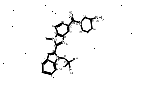 Cn1c(-c2cc3ccccc3n2CC(F)(F)F)nc2cc(C(=O)N3CCCC(N)C3)ccc21